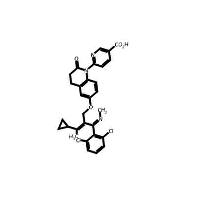 C/N=C(\C(COc1ccc2c(c1)CCC(=O)N2c1ccc(C(=O)O)cn1)=C(/C)C1CC1)c1c(Cl)cccc1Cl